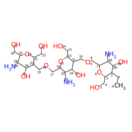 CCC1C(CO)OC(COCC2C(CO)OC(COCC3C(CO)OC(CO)C(N)C3O)C(N)C2O)C(N)C1O